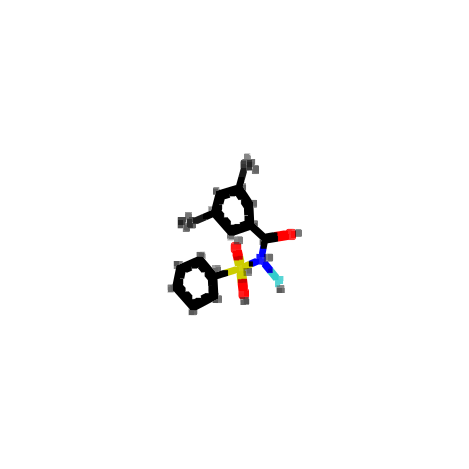 O=C(c1cc(C(F)(F)F)cc(C(F)(F)F)c1)N(F)S(=O)(=O)c1ccccc1